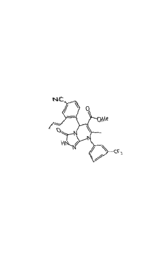 CC=Cc1cc(C#N)ccc1C1C(C(=O)OC)=C(C)N(c2cccc(C(F)(F)F)c2)c2n[nH]c(=O)n21